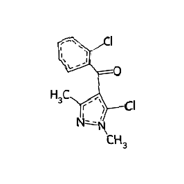 Cc1nn(C)c(Cl)c1C(=O)c1ccccc1Cl